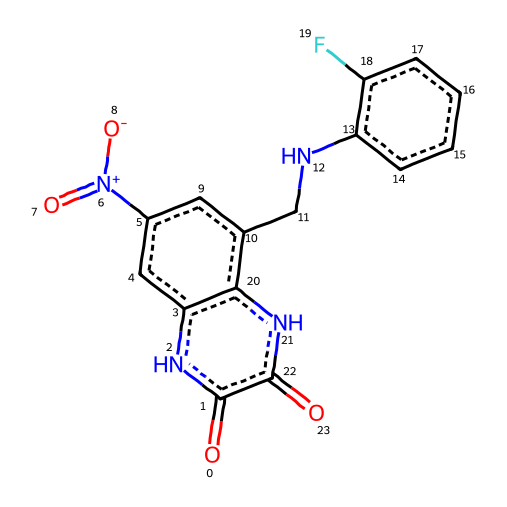 O=c1[nH]c2cc([N+](=O)[O-])cc(CNc3ccccc3F)c2[nH]c1=O